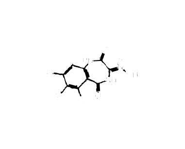 O=c1[nH]c2cc(Cl)c(Cl)c(Cl)c2c(=O)[nH]c1=NO